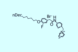 CCCCCCCCCCCCCCCCOc1ccc(CC(=O)Nc2ccc(C[n+]3ccsc3)cc2)cc1F.[Br-]